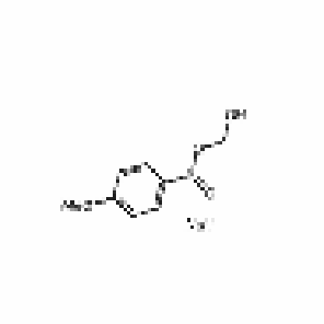 COc1ccc(S(=O)OCO)cc1.[NaH]